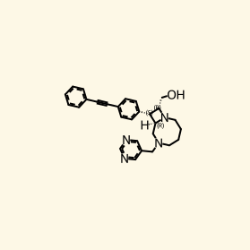 OC[C@H]1[C@@H](c2ccc(C#Cc3ccccc3)cc2)[C@@H]2CN(Cc3cncnc3)CCCCN12